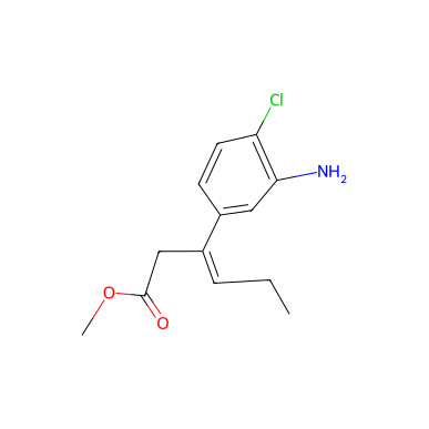 CC/C=C(/CC(=O)OC)c1ccc(Cl)c(N)c1